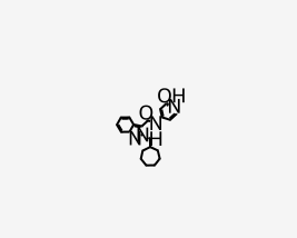 O=C(Nc1ccnc(O)c1)c1c2ccccc2nn1CC1CCCCCC1